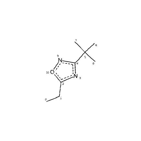 CCc1nc(C(C)(C)C)no1